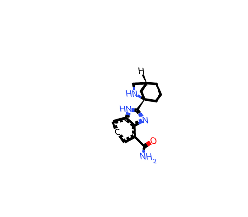 NC(=O)c1cccc2[nH]c([C@@]34CCC[C@@H](CN3)C4)nc12